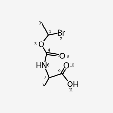 CC(Br)OC(=O)NC(C)C(=O)O